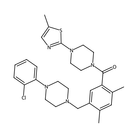 Cc1cnc(N2CCN(C(=O)c3cc(CN4CCN(c5ccccc5Cl)CC4)c(C)cc3C)CC2)s1